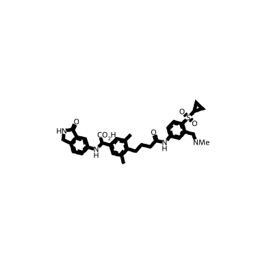 CNCc1cc(NC(=O)CCCc2c(C)cc(C(Nc3ccc4c(c3)C(=O)NC4)C(=O)O)cc2C)ccc1S(=O)(=O)C1CC1